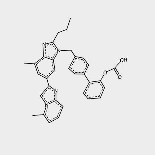 CCCc1nc2c(C)cc(-c3cn4c(C)cccc4n3)cc2n1Cc1ccc(-c2ccccc2OC(=O)O)cc1